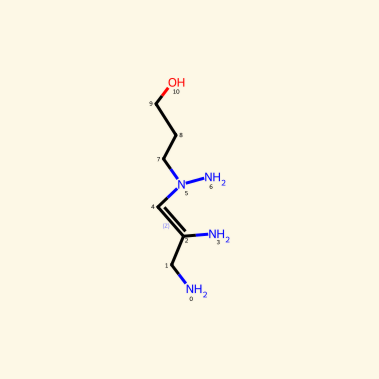 NC/C(N)=C/N(N)CCCO